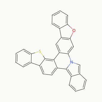 c1ccc2c(c1)cn1c3cc4oc5ccccc5c4cc3c3c(ccc4c5ccccc5sc43)c21